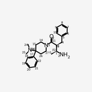 C[C@H](N)[C@H](Cc1ccccc1)C(=O)N1CCC(c2ccccc2)(N(C)C)CC1